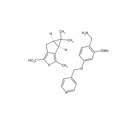 COc1cc(OCc2ccncc2)ccc1CN.Cc1sc(C(=O)O)c2c1[C@H]1[C@@H](C2)C1(C)C